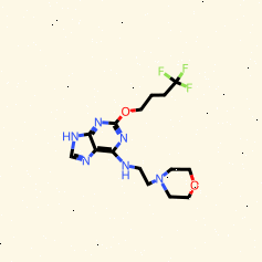 FC(F)(F)CCCOc1nc(NCCN2CCOCC2)c2nc[nH]c2n1